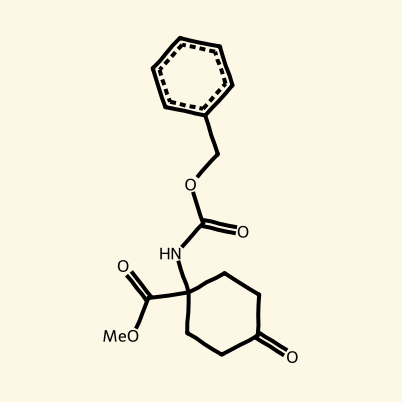 COC(=O)C1(NC(=O)OCc2ccccc2)CCC(=O)CC1